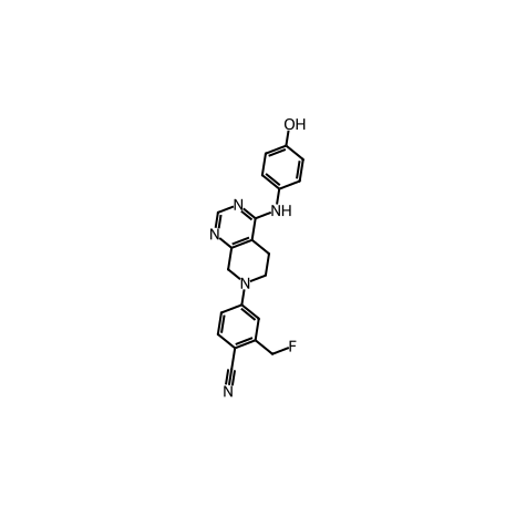 N#Cc1ccc(N2CCc3c(ncnc3Nc3ccc(O)cc3)C2)cc1CF